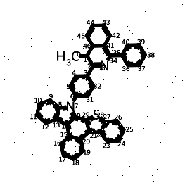 CC1C(c2ccc(-n3c4ccccc4c4c5ccccc5c5c6ccccc6sc5c43)cc2)=NC(c2ccccc2)=C2C=CC=CC21